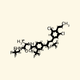 C/C=C/c1c(Cl)cc([C@@H](/C=C(\F)c2ccc(C(=O)N[C@H](C)C(=O)NCC(F)(F)F)c(C(F)(F)F)c2)C(F)(F)F)cc1Cl